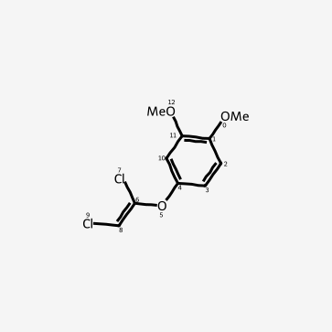 COc1ccc(OC(Cl)=CCl)cc1OC